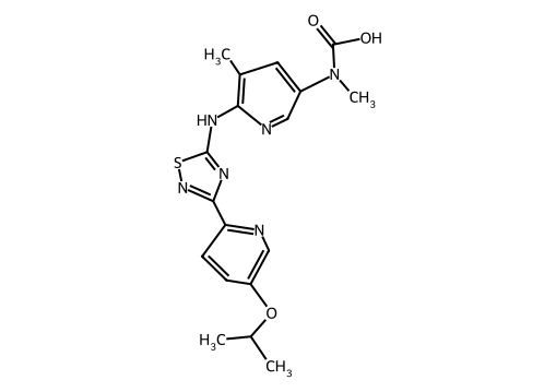 Cc1cc(N(C)C(=O)O)cnc1Nc1nc(-c2ccc(OC(C)C)cn2)ns1